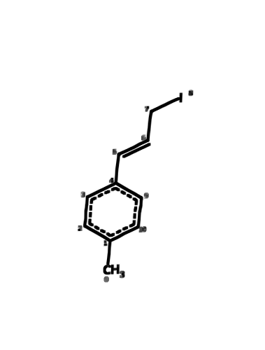 Cc1ccc(/C=C/CI)cc1